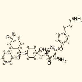 NCCCc1ccc(Oc2ncn(CC3(O)CCN(C(=O)[C@@H]4CCC(F)(F)C[C@H]4c4ccccc4)CC3)c(=O)c2N)cc1